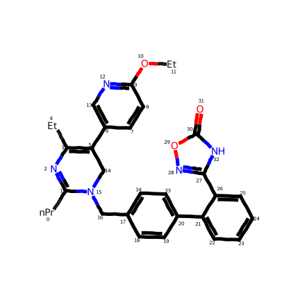 CCCC1=NC(CC)=C(c2ccc(OCC)nc2)CN1Cc1ccc(-c2ccccc2-c2noc(=O)[nH]2)cc1